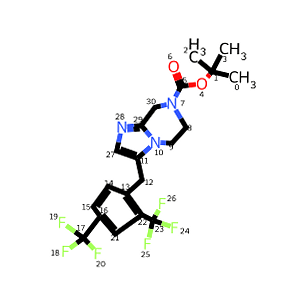 CC(C)(C)OC(=O)N1CCn2c(Cc3ccc(C(F)(F)F)cc3C(F)(F)F)cnc2C1